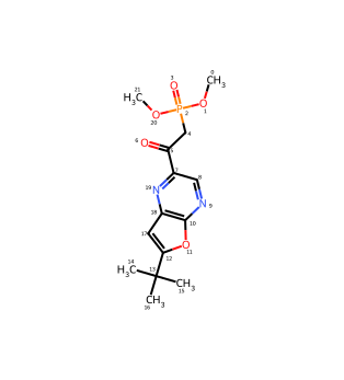 COP(=O)(CC(=O)c1cnc2oc(C(C)(C)C)cc2n1)OC